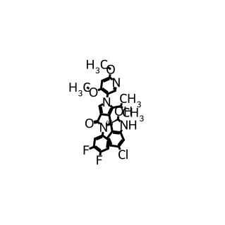 COc1cc(OC)c(-n2cc3c(c2C(C)C)[C@]2(c4ccc(Cl)cc4NC2O)N(c2ccc(F)c(F)c2)C3=O)cn1